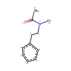 CCC(C)C(=O)N(CC)CCc1ccccc1